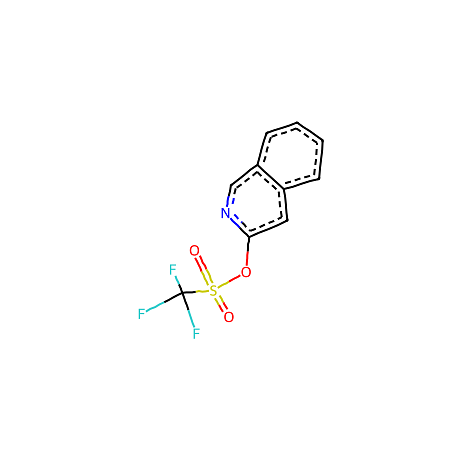 O=S(=O)(Oc1cc2ccccc2cn1)C(F)(F)F